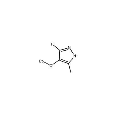 CCOC1=C(C)[N]N=C1F